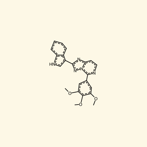 COc1cc(-c2nccc3nc(-c4c[nH]c5ccccc45)nn23)cc(OC)c1OC